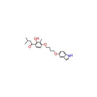 Cc1c(OCCCCOc2ccc3[nH]ccc3c2)ccc(C(=O)CC(C)C)c1O